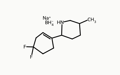 CC1CCC(C2=CCC(F)(F)CC2)NC1.[BH4-].[Na+]